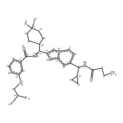 O=C(CCC(F)(F)F)NC(c1cnn2cc([C@@H](NC(=O)c3ccnc(OCC(F)F)c3)C3CCC(F)(F)CC3)nc2c1)C1CC1